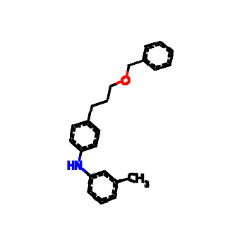 Cc1cccc(Nc2ccc(CCCOCc3ccccc3)cc2)c1